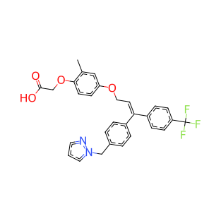 Cc1cc(OC/C=C(\c2ccc(Cn3cccn3)cc2)c2ccc(C(F)(F)F)cc2)ccc1OCC(=O)O